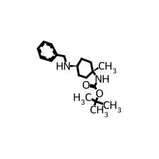 CC(C)(C)OC(=O)N[C@]1(C)CC[C@@H](NCc2ccccc2)CC1